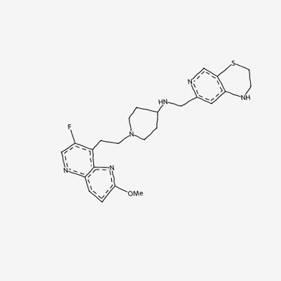 COc1ccc2ncc(F)c(CCN3CCC(NCc4cc5c(cn4)SCCN5)CC3)c2n1